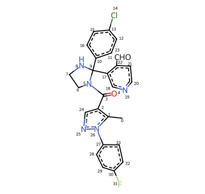 Cc1c(C(=O)N2CCNC2(c2ccc(Cl)cc2)c2cnccc2C=O)cnn1-c1ccc(F)cc1